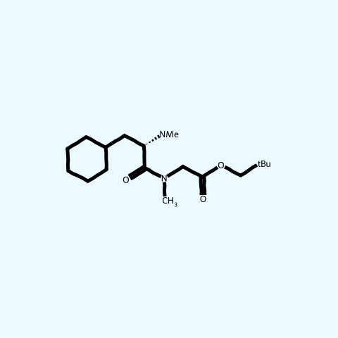 CN[C@@H](CC1CCCCC1)C(=O)N(C)CC(=O)OCC(C)(C)C